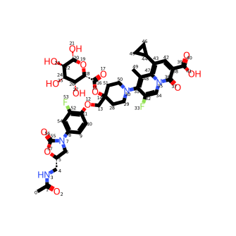 CC(=O)NC[C@H]1CN(c2ccc(OCC3(OC(=O)[C@H]4O[C@@H](O)[C@H](O)[C@@H](O)[C@H]4O)CCN(c4c(F)cn5c(=O)c(C(=O)O)cc(C6CC6)c5c4C)CC3)c(F)c2)C(=O)O1